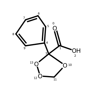 O=C(O)C1(c2ccccc2)OCOO1